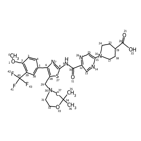 COc1ccc(-c2nc(NC(=O)c3cnc(N4CCC(C(=O)O)CC4)cn3)sc2CN2CCOC(C)(C)C2)cc1C(F)(F)F